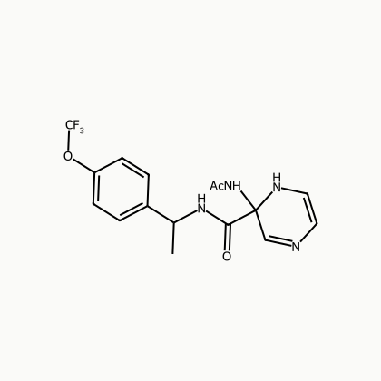 CC(=O)NC1(C(=O)NC(C)c2ccc(OC(F)(F)F)cc2)C=NC=CN1